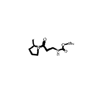 [CH2]C1CCCN1C(=O)CCNC(=O)OC(C)(C)C